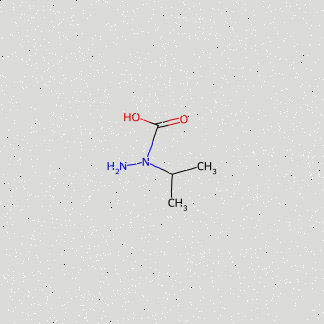 CC(C)N(N)C(=O)O